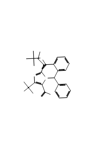 CCCc1nc(C(C)(C)O)c(C(=O)O)n1C(c1ccccc1)c1ccccc1C(=O)OC(C)(C)C